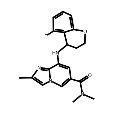 Cc1cn2cc(C(=O)N(C)C)cc(NC3CCOc4cccc(F)c43)c2n1